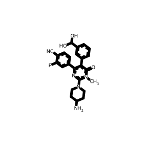 Cn1c(N2CCC(N)CC2)nc(-c2ccc(C#N)c(F)c2)c(-c2cccc(C(O)O)c2)c1=O